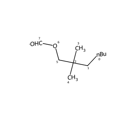 CCCCCC(C)(C)CO[C]=O